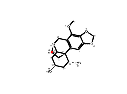 COc1c2c(cc3c1OCO3)[C@@]13CC[N@@](C2)[C@@H]1C[C@@H](O)C[C@H]3O